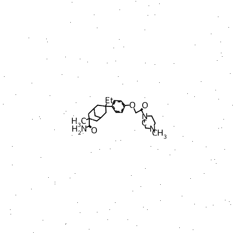 CCC1(c2ccc(OCC(=O)N3CCN(C)CC3)cc2)CC2CC(CC(C)(C(N)=O)C2)C1